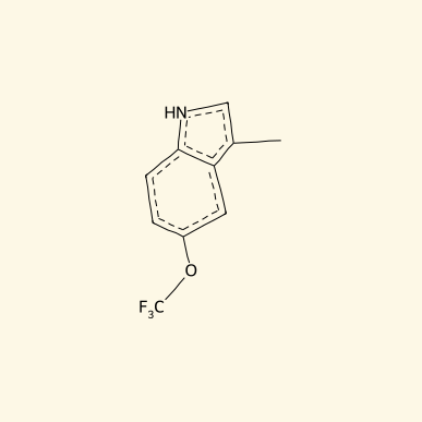 Cc1c[nH]c2ccc(OC(F)(F)F)cc12